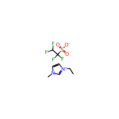 CC[n+]1ccn(C)c1.O=S(=O)([O-])C(F)(F)C(F)F